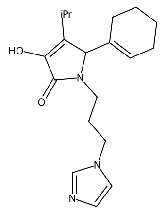 CC(C)C1=C(O)C(=O)N(CCCn2ccnc2)C1C1=CCCCC1